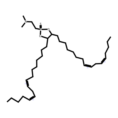 CCCC/C=C\C/C=C\CCCCCCCC1OP(=S)(CCN(C)C)OC1CCCCCCC/C=C\C/C=C\CCCC